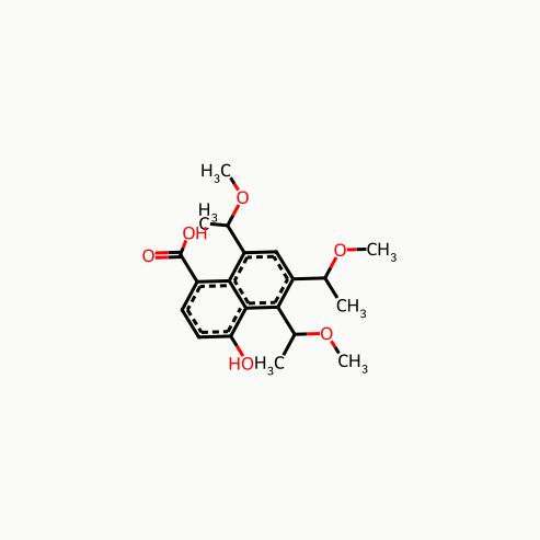 COC(C)c1cc(C(C)OC)c2c(C(=O)O)ccc(O)c2c1C(C)OC